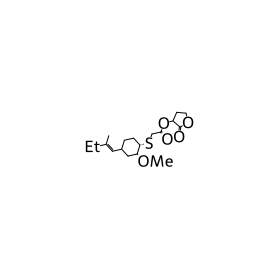 CC/C(C)=C/C1CC[C@H](SCC(=O)OC2CCOC2=O)[C@H](OC)C1